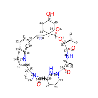 CC(C)[C@@H]1OC(=O)C2(/C=C/c3ccc4ccc(nc4c3)[C@@H](C)N(C)C(=O)[C@@H]3CCCN(N3)C(=O)[C@H](C)NC1=O)CCC(O)CC2